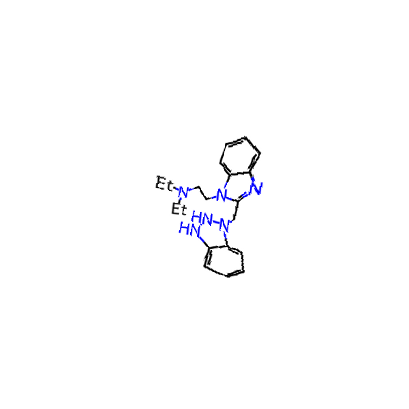 CCN(CC)CCn1c(CN2NNc3ccccc32)nc2ccccc21